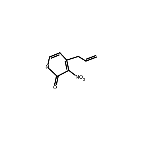 C=CCC1=C([N+](=O)[O-])C(=O)[N]C=C1